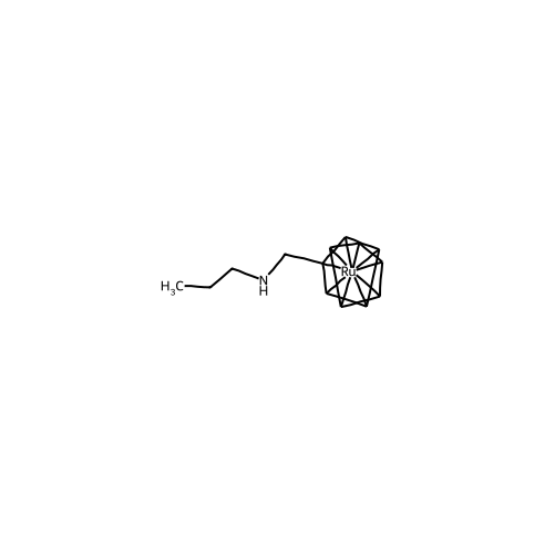 CCCNC[C]12[CH]3[CH]4[CH]5[CH]1[Ru]45321678[CH]2[CH]1[CH]6[CH]7[CH]28